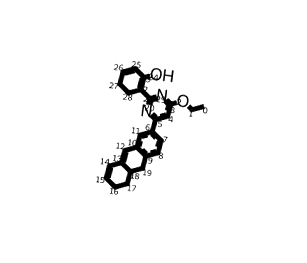 CCOc1cc(-c2ccc3c(c2)C=C2C=CCCC2C3)nc(C2=C(O)C=CCC2)n1